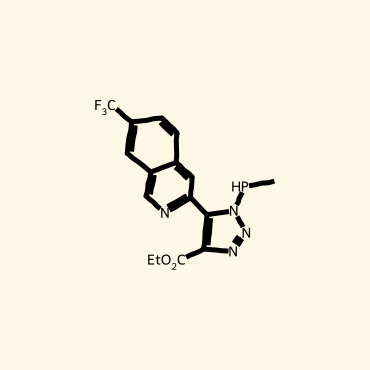 CCOC(=O)c1nnn(PC)c1-c1cc2ccc(C(F)(F)F)cc2cn1